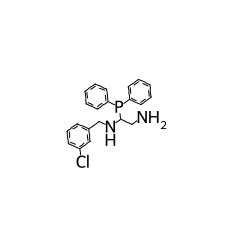 NCC(NCc1cccc(Cl)c1)P(c1ccccc1)c1ccccc1